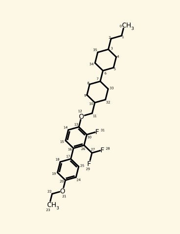 CCCC1CCC(C2CCC(COc3ccc(-c4ccc(OCC)cc4)c(C(F)F)c3F)CC2)CC1